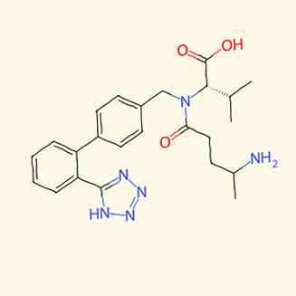 CC(N)CCC(=O)N(Cc1ccc(-c2ccccc2-c2nnn[nH]2)cc1)[C@H](C(=O)O)C(C)C